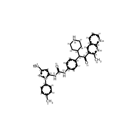 Cc1ccc(-n2nc(C(C)(C)C)cc2NC(=O)Nc2ccc(C(C(=O)c3cc4cccnc4nc3C)C3CCNCC3)cc2)cc1